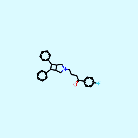 O=C(CCCN1CC2C(C1)C(c1ccccc1)C2c1ccccc1)c1ccc(F)cc1